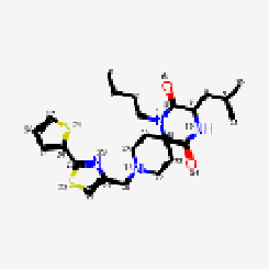 CCCCN1C(=O)C(CC(C)C)NC(=O)C12CCN(Cc1csc(-c3cccs3)n1)CC2